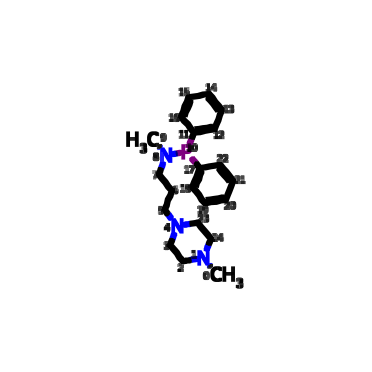 CN1CCN(CCCN(C)P(c2ccccc2)c2ccccc2)CC1